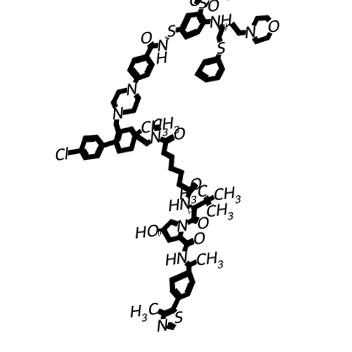 Cc1ncsc1-c1ccc(C(C)NC(=O)C2C[C@@H](O)CN2C(=O)[C@@H](NC(=O)CCCCCC(=O)N(C)CC2(C)CCC(c3ccc(Cl)cc3)=C(CN3CCN(c4ccc(C(=O)NSc5ccc(N[C@H](CCN6CCOCC6)CSc6ccccc6)c(S(C)(=O)=O)c5)cc4)CC3)C2)C(C)(C)C)cc1